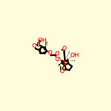 C[C@@H]1CC[C@@]23CCC(=O)[C@H]2[C@]1(C)[C@H](OC(=O)COc1ccc2c(c1F)B(O)OC2)C[C@@](C)([C@@H]1CO1)[C@@H](O)[C@@H]3C